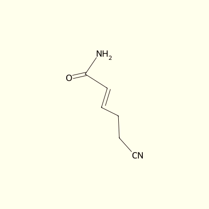 N#CCCC=CC(N)=O